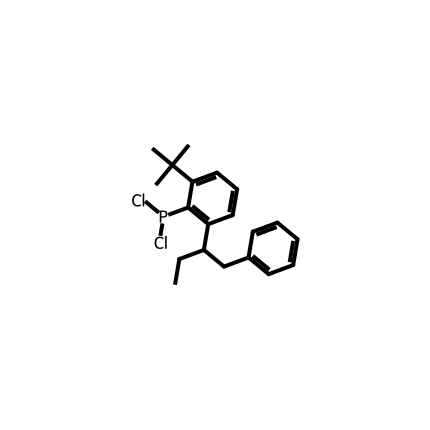 CCC(Cc1ccccc1)c1cccc(C(C)(C)C)c1P(Cl)Cl